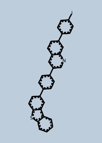 Ic1ccc(-c2ccc3cc(-c4ccc(-c5ccc6sc7ccccc7c6c5)cc4)cnc3c2)cc1